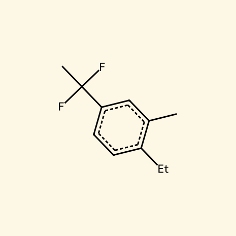 CCc1ccc(C(C)(F)F)cc1C